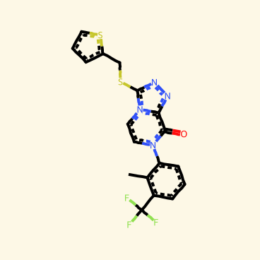 Cc1c(-n2ccn3c(SCc4cccs4)nnc3c2=O)cccc1C(F)(F)F